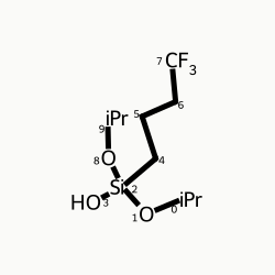 CC(C)O[Si](O)(CCCC(F)(F)F)OC(C)C